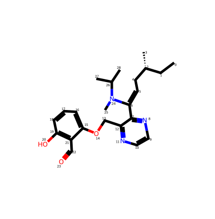 CC[C@@H](C)C/C=C(/c1nccnc1COc1cccc(O)c1C=O)N(C)C(C)C